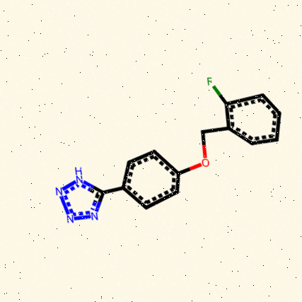 Fc1ccccc1COc1ccc(-c2nnn[nH]2)cc1